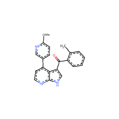 COc1ccc(-c2ccnc3[nH]cc(C(=O)c4ccccc4C)c23)cn1